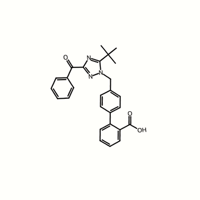 CC(C)(C)c1nc(C(=O)c2ccccc2)nn1Cc1ccc(-c2ccccc2C(=O)O)cc1